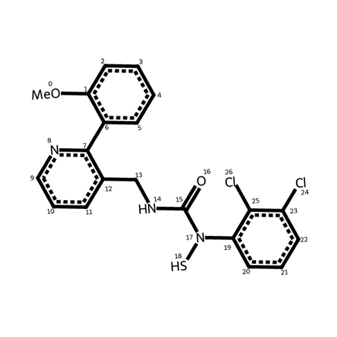 COc1ccccc1-c1ncccc1CNC(=O)N(S)c1cccc(Cl)c1Cl